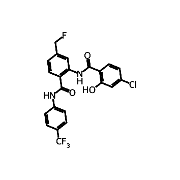 O=C(Nc1cc(CF)ccc1C(=O)Nc1ccc(C(F)(F)F)cc1)c1ccc(Cl)cc1O